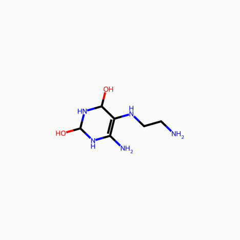 NCCNC1=C(N)NC(O)NC1O